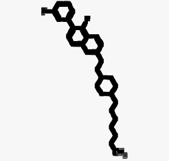 CCCCCCCC1CCC(CCc2ccc3c(F)c(-c4cccc(F)c4)ccc3c2)CC1